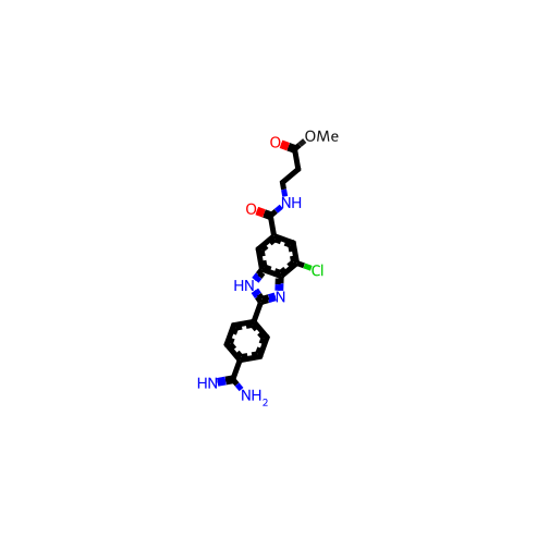 COC(=O)CCNC(=O)c1cc(Cl)c2nc(-c3ccc(C(=N)N)cc3)[nH]c2c1